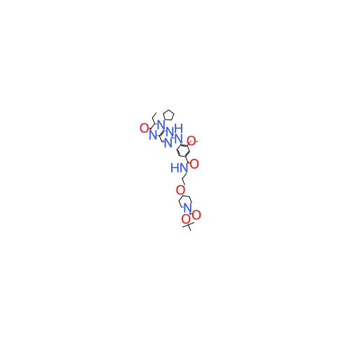 CCC1C(=O)N(C)c2cnc(Nc3ccc(C(=O)NCCCOC4CCN(C(=O)OC(C)(C)C)CC4)cc3OC)nc2N1C1CCCC1